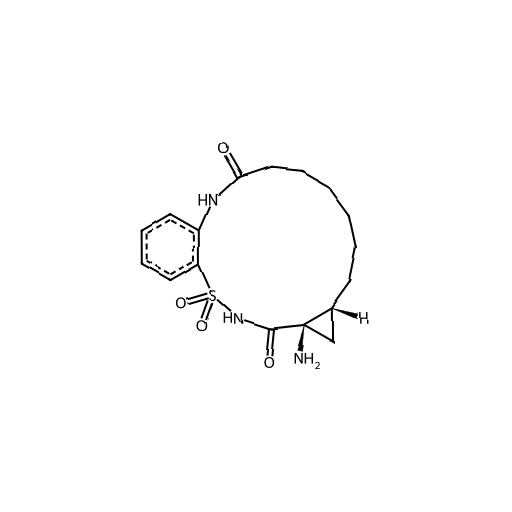 N[C@]12C[C@H]1CCCCCCC(=O)Nc1ccccc1S(=O)(=O)NC2=O